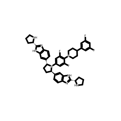 Fc1cc(F)cc(C2CCN(c3c(F)cc(N4[C@@H](c5ccc6nc([C@@H]7CCCN7)[nH]c6c5)CC[C@@H]4c4ccc5nc([C@@H]6CCCN6)[nH]c5c4)cc3F)CC2)c1